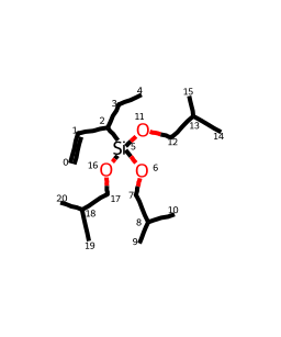 C=CC(CC)[Si](OCC(C)C)(OCC(C)C)OCC(C)C